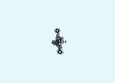 O=C(CC1NC(=O)C2(CCN(CCc3ccccc3)CC2)N(CC2CCCO2)C1=O)OCc1ccccc1